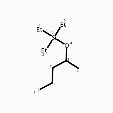 CC[Si](CC)(CC)OC(C)CCI